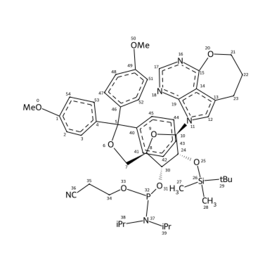 COc1ccc(C(OC[C@H]2O[C@@H](n3cc4c5c(ncnc53)OCCC4)[C@H](O[Si](C)(C)C(C)(C)C)[C@@H]2OP(OCCC#N)N(C(C)C)C(C)C)(c2ccccc2)c2ccc(OC)cc2)cc1